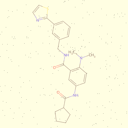 CN(C)c1ccc(NC(=O)C2CCCC2)cc1C(=O)NCc1cccc(-c2nccs2)c1